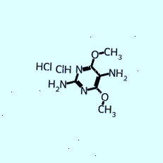 COc1nc(N)nc(OC)c1N.Cl.Cl